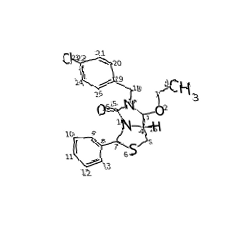 CCOC1[C@@H]2CSC(c3ccccc3)N2C(=O)N1Cc1ccc(Cl)cc1